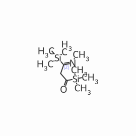 C/N=C(/CC(=O)[Si](C)(C)C)[Si](C)(C)C